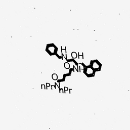 CCCN(CCC)C(=O)CCCC(=O)N[C@@H](Cc1cccc2ccccc12)[C@H](O)CNCc1ccccc1